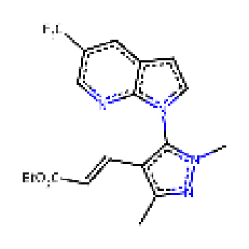 CCOC(=O)/C=C/c1c(C)nn(C)c1-n1ccc2cc(C(F)(F)F)cnc21